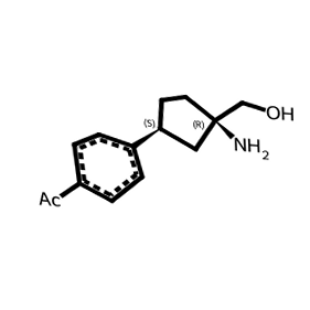 CC(=O)c1ccc([C@H]2CC[C@](N)(CO)C2)cc1